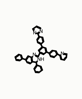 c1ccc(-c2ccc3c(c2)N=C(c2cc(-c4ccc(-c5ccccn5)cc4)cc(-c4ccc(-c5ncccn5)cc4)c2)NC3c2ccccc2)cc1